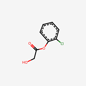 O=C(CO)Oc1ccccc1Cl